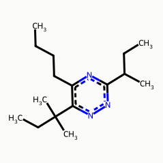 CCCCc1nc(C(C)CC)nnc1C(C)(C)CC